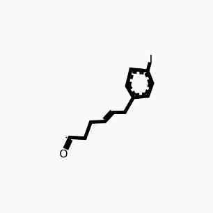 O=[C]CCC=CCc1ccc(I)cc1